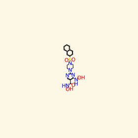 O=C(NO)c1cnc(N2CCN(S(=O)(=O)c3ccc4ccccc4c3)CC2)nc1NO